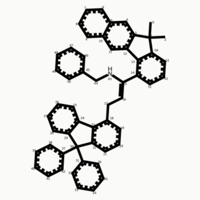 CC1(C)c2cc3ccccc3cc2-c2c(/C(=C/Cc3cccc4c3-c3ccccc3C4(c3ccccc3)c3ccccc3)NCc3ccccc3)cccc21